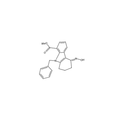 COC(=O)c1cccc2c3c(n(Cc4ccccc4)c12)CCCC3=NO